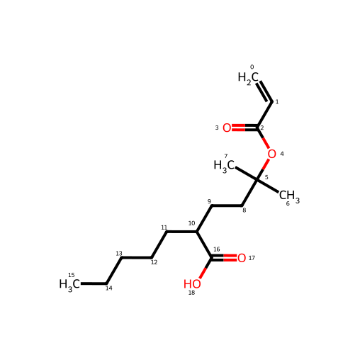 C=CC(=O)OC(C)(C)CCC(CCCCC)C(=O)O